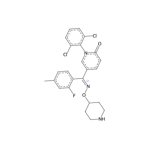 Cc1ccc(/C(=N\OC2CCNCC2)c2ccc(=O)n(-c3c(Cl)cccc3Cl)c2)c(F)c1